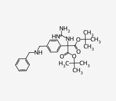 CC(C)(C)OC(=O)C(NC(=N)N)(C(=O)OC(C)(C)C)c1ccc(CNCc2ccccc2)cc1